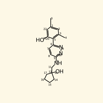 Cc1cc(C)c(-c2ccc(NCC3(O)CCCC3)nn2)c(O)c1